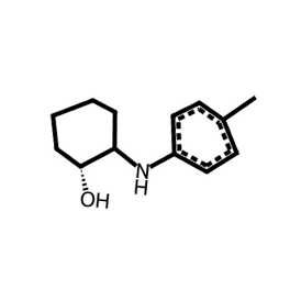 Cc1ccc(NC2CCCC[C@H]2O)cc1